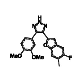 COc1ccc(-c2n[nH]nc2-c2cc3cc(F)c(C)cc3o2)cc1OC